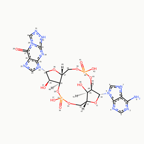 Nc1ncnc2c1ncn2[C@@H]1O[C@@H]2COP(=O)(O)O[C@H]3[C@@H](O)[C@H](n4cnc5c(=O)n6cn[nH]c6nc54)O[C@@H]3COP(=O)(O)O[C@@H]1[C@@H]2O